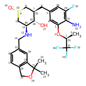 C[C@H](Oc1cc(C[C@@H]2C[S@@+]([O-])C[C@H](NCc3ccc4c(c3)C(C)(C)OC4)[C@H]2O)cc(F)c1N)C(F)(F)F